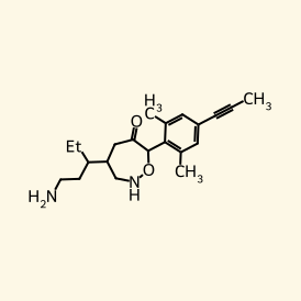 CC#Cc1cc(C)c(C2ONCC(C(CC)CCN)CC2=O)c(C)c1